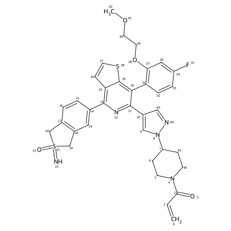 C=CC(=O)N1CCC(n2cc(-c3nc(-c4ccc5c(c4)CS(=N)(=O)C5)c4ccsc4c3-c3ccc(F)cc3OCCOC)cn2)CC1